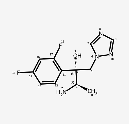 C[C@@H](N)[C@](O)(Cn1cncn1)c1ccc(F)cc1F